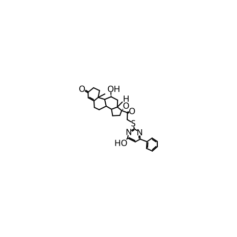 CC12CCC(=O)C=C1CCC1C2[C@@H](O)CC2(C)C1CC[C@]2(O)C(=O)CSc1nc(O)cc(-c2ccccc2)n1